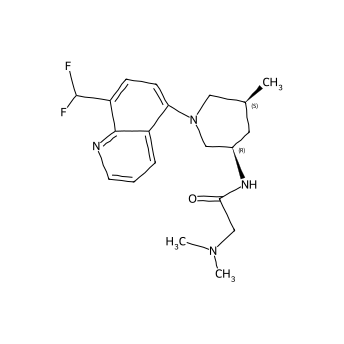 C[C@H]1C[C@@H](NC(=O)CN(C)C)CN(c2ccc(C(F)F)c3ncccc23)C1